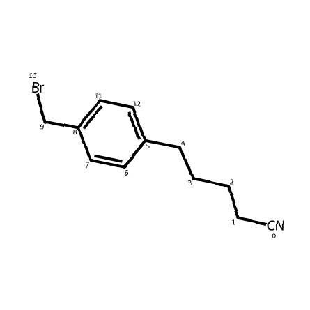 N#CCCCCc1ccc(CBr)cc1